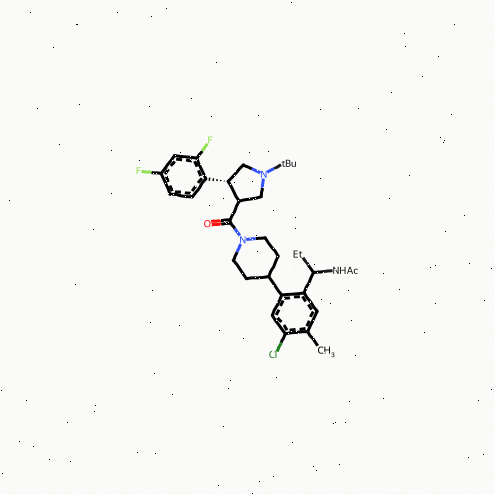 CCC(NC(C)=O)c1cc(C)c(Cl)cc1C1CCN(C(=O)C2CN(C(C)(C)C)C[C@H]2c2ccc(F)cc2F)CC1